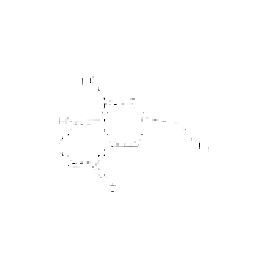 COc1cc(C)c2[nH]ccc(=O)c2c1